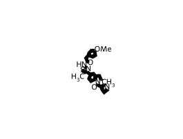 COc1ccc(CC(=O)Nc2nc(-c3ccc4c(c3)CCN4C(=O)c3cccnc3C)c(C)s2)cc1